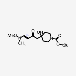 CON(C)/C=C/C(=O)CC1(O)CCN(C(=O)OC(C)(C)C)CC1